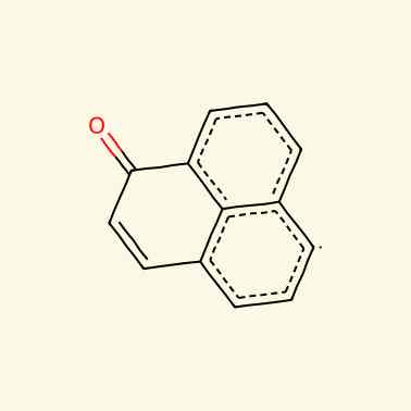 O=C1C=Cc2cc[c]c3cccc1c23